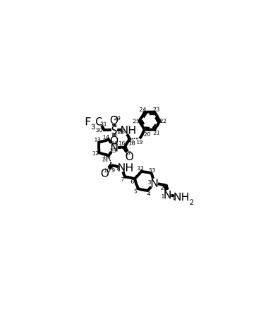 NN=CN1CCC(CNC(=O)[C@@H]2CCCN2C(=O)[C@@H](Cc2ccccc2)NS(=O)(=O)CC(F)(F)F)CC1